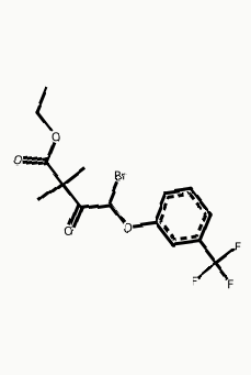 CCOC(=O)C(C)(C)C(=O)C(Br)Oc1cccc(C(F)(F)F)c1